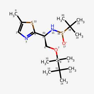 Cc1cnc([C@H](CO[Si](C)(C)C(C)(C)C)N[S+]([O-])C(C)(C)C)s1